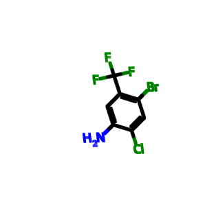 Nc1cc(C(F)(F)F)c(Br)cc1Cl